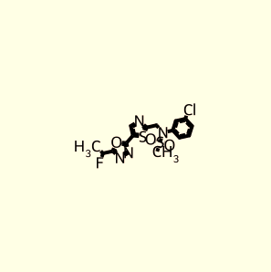 CC(F)c1nnc(-c2cnc(CN(c3cccc(Cl)c3)S(C)(=O)=O)s2)o1